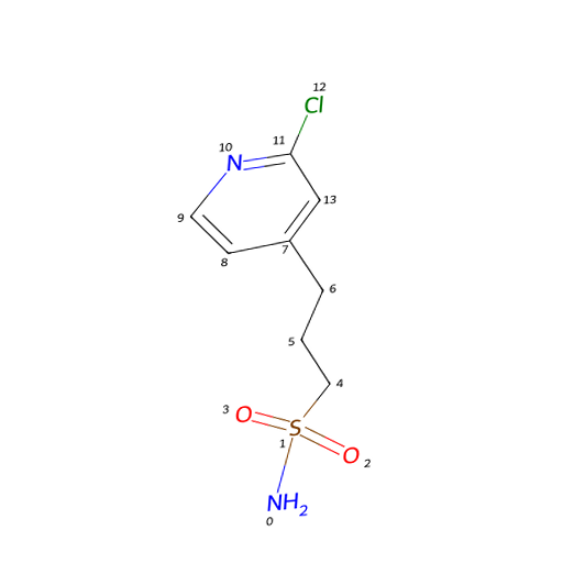 NS(=O)(=O)CCCc1ccnc(Cl)c1